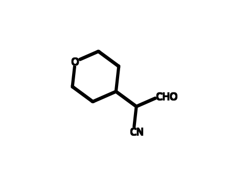 N#CC(C=O)C1CCOCC1